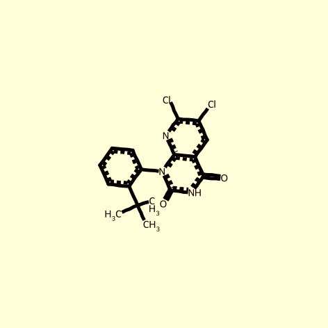 CC(C)(C)c1ccccc1-n1c(=O)[nH]c(=O)c2cc(Cl)c(Cl)nc21